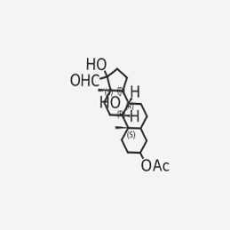 CC(=O)OC1CC[C@@]2(C)C(CC[C@@H]3[C@H]2CC[C@]2(C)C(O)(C=O)CC[C@@]32O)C1